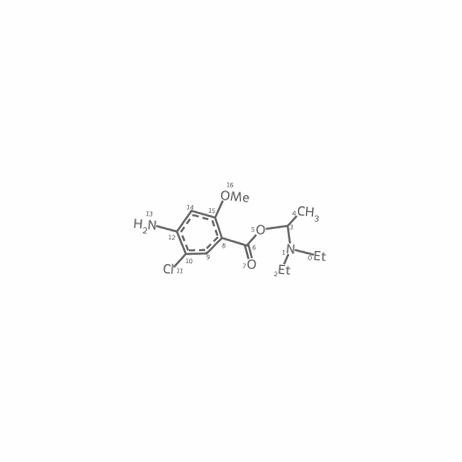 CCN(CC)C(C)OC(=O)c1cc(Cl)c(N)cc1OC